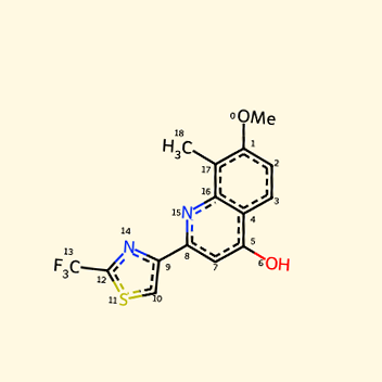 COc1ccc2c(O)cc(-c3csc(C(F)(F)F)n3)nc2c1C